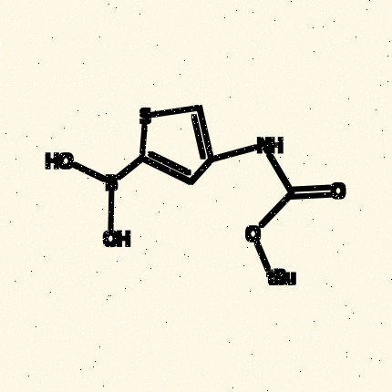 CC(C)(C)OC(=O)Nc1csc(B(O)O)c1